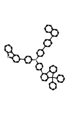 c1ccc(C2(c3ccccc3)c3ccccc3-c3c(-c4ccc(N(c5ccc(-c6ccc(-c7cccc8ccccc78)cc6)cc5)c5ccc(-c6ccc7oc8ccccc8c7c6)cc5)cc4)cccc32)cc1